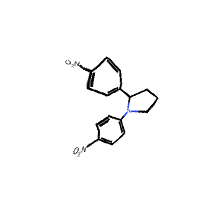 O=[N+]([O-])c1ccc([C]2CCCN2c2ccc([N+](=O)[O-])cc2)cc1